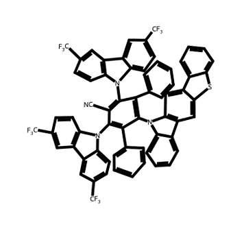 N#Cc1c(-n2c3ccc(C(F)(F)F)cc3c3cc(C(F)(F)F)ccc32)c(-c2ccccc2)c(-n2c3ccccc3c3cc4sc5ccccc5c4cc32)c(-c2ccccc2)c1-n1c2ccc(C(F)(F)F)cc2c2cc(C(F)(F)F)ccc21